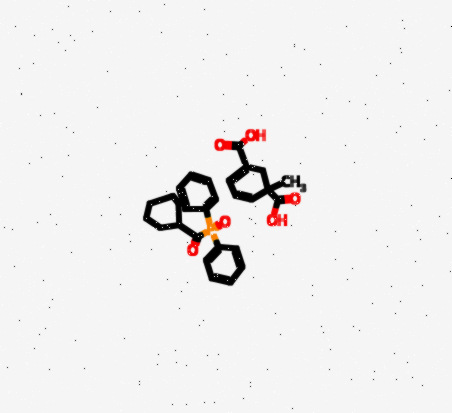 CC1(C(=O)O)C=CC=C(C(=O)O)C1.O=C(C1CCCCC1)P(=O)(c1ccccc1)c1ccccc1